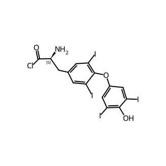 N[C@@H](Cc1cc(I)c(Oc2cc(I)c(O)c(I)c2)c(I)c1)C(=O)Cl